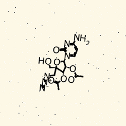 CC(=O)O[C@@H]1[C@H](n2ccc(N)nc2=O)O[C@@](CO)(CN=[N+]=[N-])[C@H]1OC(C)=O